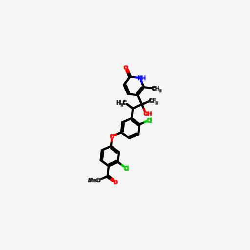 COC(=O)c1ccc(Oc2ccc(Cl)c(C(C)C(O)(c3ccc(=O)[nH]c3C)C(F)(F)F)c2)cc1Cl